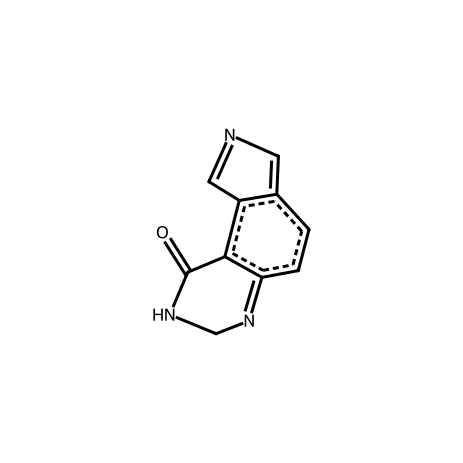 O=C1NCN=c2ccc3c(c21)C=NC=3